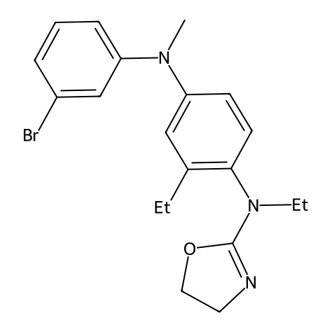 CCc1cc(N(C)c2cccc(Br)c2)ccc1N(CC)C1=NCCO1